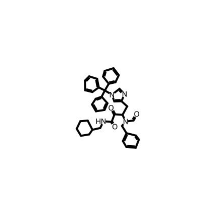 O=CN(Cc1ccccc1)C(Cc1cn(C(c2ccccc2)(c2ccccc2)c2ccccc2)cn1)C(=O)C(=O)NCC1CCCCC1